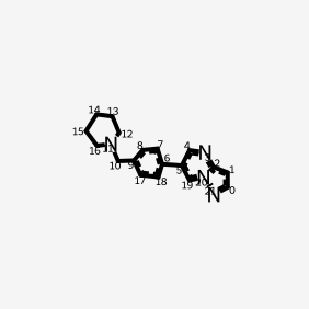 c1cc2ncc(-c3ccc(CN4CCCCC4)cc3)cn2n1